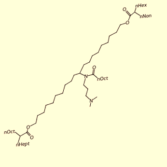 CCCCCCCCCC(CCCCCC)C(=O)OCCCCCCCCCC(CCCCCCCCCCOC(=O)C(CCCCCCC)CCCCCCCC)N(CCCN(C)C)C(=O)CCCCCCCC